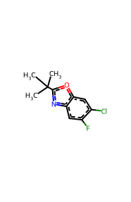 CC(C)(C)c1nc2cc(F)c(Cl)cc2o1